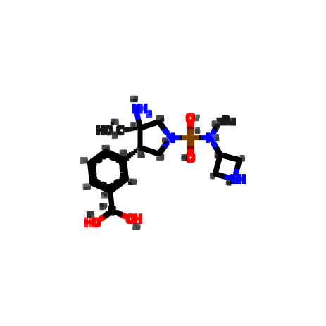 CCCCN(C1CNC1)S(=O)(=O)N1C[C@H](c2cccc(B(O)O)c2)[C@](N)(C(=O)O)C1